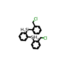 ClCc1ccccc1[SiH2]c1ccccc1[SiH2]c1ccccc1CCl